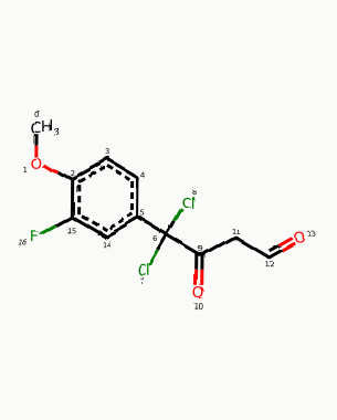 COc1ccc(C(Cl)(Cl)C(=O)CC=O)cc1F